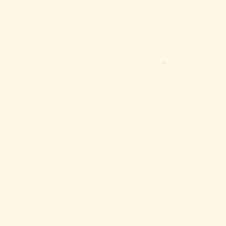 CCN(CC)CCCCNc1cc2c(cn1)cc(-c1cc(OC)cc(OC)c1C)c(=O)n2C